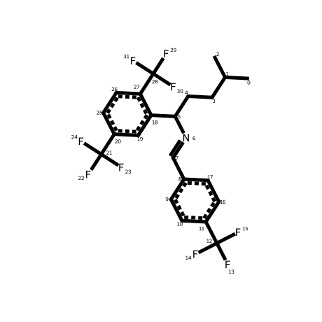 CC(C)CCC(N=Cc1ccc(C(F)(F)F)cc1)c1cc(C(F)(F)F)ccc1C(F)(F)F